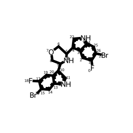 Fc1cc2c(C3COCC(c4c[nH]c5cc(Br)c(F)cc45)N3)c[nH]c2cc1Br